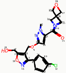 Cn1nc(OCc2c(-c3ccc(Cl)cc3)noc2CO)cc1C(=O)N1CC2(COC2)C1